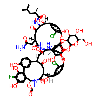 CC(C)C[C@@H](C)C(=O)NC1C(=O)C[C@@H](CC(N)=O)C(=O)N[C@H]2C(=O)C[C@H]3C(=O)C[C@H](C(=O)N[C@@H](OC=O)c4cc(O)c(F)c(O)c4-c4cc3ccc4O)[C@H](O)c3ccc(c(Cl)c3)Oc3cc2cc(c3OC2O[C@@H](CO)[C@@H](O)[C@H](O)[C@@H]2O[C@@H]2C[C@](C)(N)[C@H](O)[C@@H](C)O2)Oc2ccc(cc2Cl)[C@H]1O